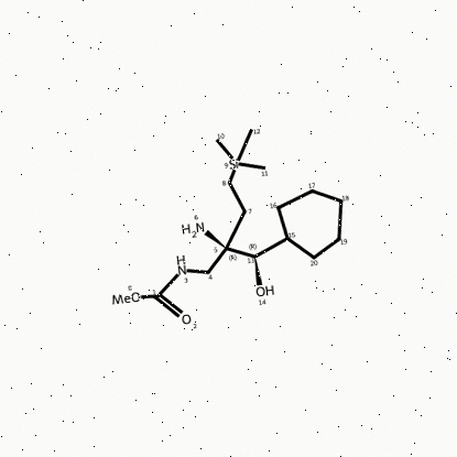 COC(=O)NC[C@](N)(CC[Si](C)(C)C)[C@H](O)C1CCCCC1